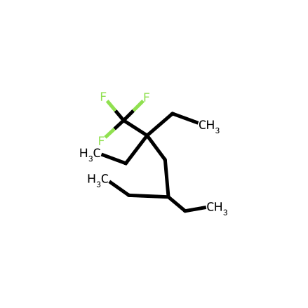 CCC(CC)CC(CC)(CC)C(F)(F)F